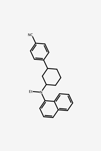 CCN(c1cccc2ccccc12)C1CCCC(c2ccc(C#N)cc2)C1